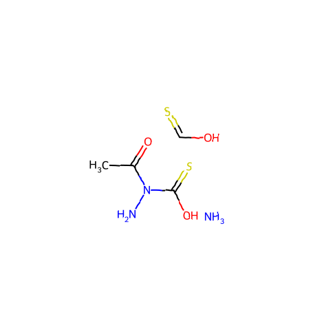 CC(=O)N(N)C(O)=S.N.OC=S